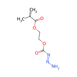 C=C(C)C(=O)OCCOC(=O)N=NN